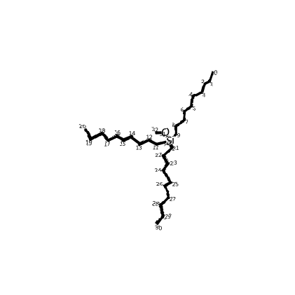 CCCCCCCCCC[Si](CCCCCCCCCC)(CCCCCCCCCC)OC